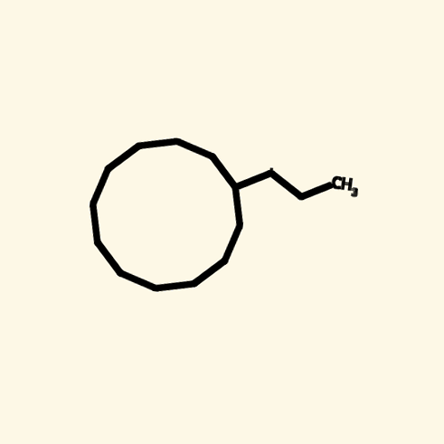 CC[CH]C1CCCCCCCCCCC1